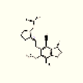 CCc1c(C)c2c(c(C#N)c1C/C=C1\CCCC1CC(=O)O)C(=O)OC2